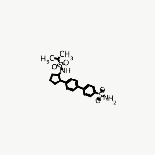 CC(C)S(=O)(=O)NC1CCCC1c1ccc(-c2ccc(S(N)(=O)=O)cc2)cc1